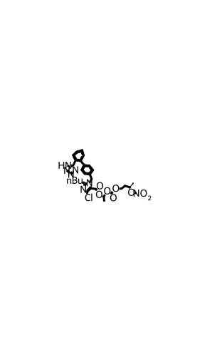 CCCCc1nc(Cl)c(C(=O)OC(C)OC(=O)OCC[C@@H](C)O[N+](=O)[O-])n1Cc1ccc(-c2ccccc2-c2nnn[nH]2)cc1